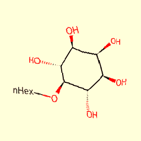 CCCCCCO[C@H]1[C@H](O)[C@@H](O)[C@@H](O)[C@@H](O)[C@@H]1O